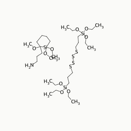 CCO[Si](CCCSSSSCCC[Si](OCC)(OCC)OCC)(OCC)OCC.COC1(CCCN)CCCC[Si]1(OC)OC